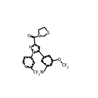 O=C(c1cc(-c2cc(Br)cc(OC(F)(F)F)c2)n(-c2ccnc(C(F)(F)F)c2)n1)N1CCSC1